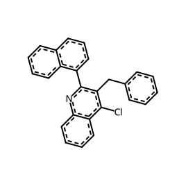 Clc1c(Cc2ccccc2)c(-c2cccc3ccccc23)nc2ccccc12